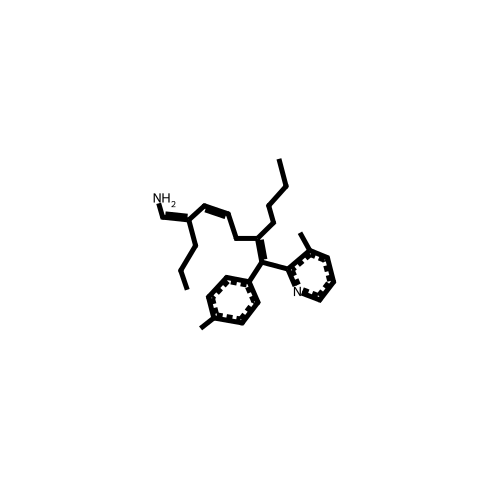 CCCC/C(C/C=C\C(=C/N)CCC)=C(/c1ccc(C)cc1)c1ncccc1C